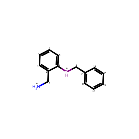 NCc1ccccc1PCc1ccccc1